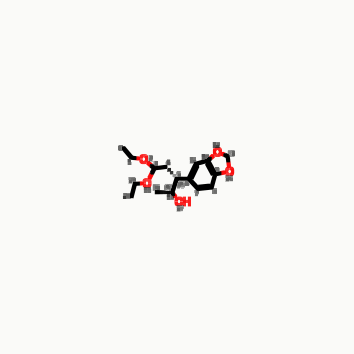 CCOC(C[C@H](c1ccc2c(c1)OCO2)[C@H](C)O)OCC